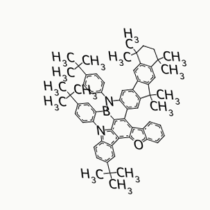 CC(C)(C)c1ccc(N2B3c4cc(C(C)(C)C)ccc4-n4c5ccc(C(C)(C)C)cc5c5c6oc7ccccc7c6c(c3c54)-c3cc4c(cc32)-c2cc3c(cc2C4(C)C)C(C)(C)CCC3(C)C)cc1